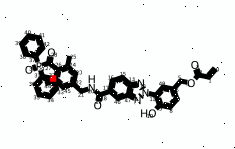 C=CC(=O)OCc1ccc(O)c(-n2nc3ccc(C(=O)NCc4cc(C)c(C(=O)P(=O)(c5ccccc5)c5ccccc5)c(C)c4)cc3n2)c1